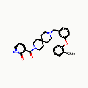 COc1ccccc1Oc1cccc(CN2CCC3(CC2)CCN(C(=O)c2ccc[nH]c2=O)CC3)c1